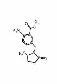 COC(=O)c1cc(CN2C(=O)CCC2C)ccc1N